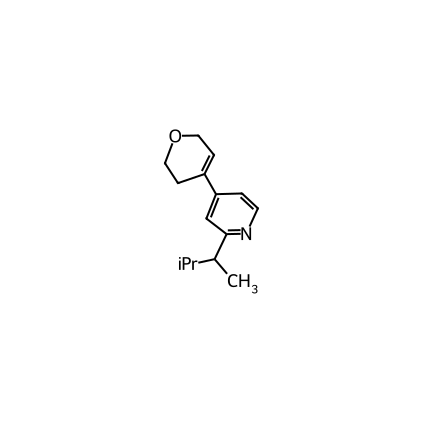 CC(C)C(C)c1cc(C2=CCOCC2)ccn1